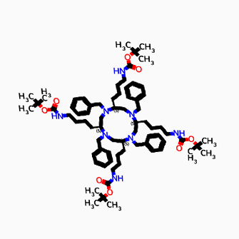 CC(C)(C)OC(=O)NCCCC[C@H]1CN(Cc2ccccc2)[C@@H](CCCCNC(=O)OC(C)(C)C)CN(Cc2ccccc2)[C@@H](CCCCNC(=O)OC(C)(C)C)CN(Cc2ccccc2)[C@@H](CCCCNC(=O)OC(C)(C)C)CN1Cc1ccccc1